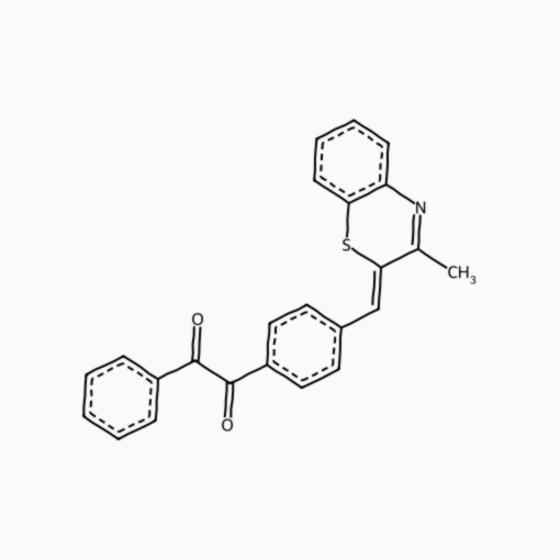 CC1=Nc2ccccc2SC1=Cc1ccc(C(=O)C(=O)c2ccccc2)cc1